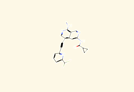 CNc1ncc(C#Cc2cccc(C(F)F)n2)c2cc(NC(=O)C3CC3)ncc12